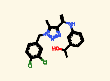 C=C(Nc1cccc(C(C)O)c1)c1nnn(Cc2ccc(Cl)c(Cl)c2)c1C